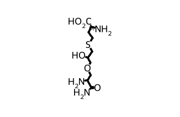 NC(=O)C(N)COCC(O)CSCC[C@H](N)C(=O)O